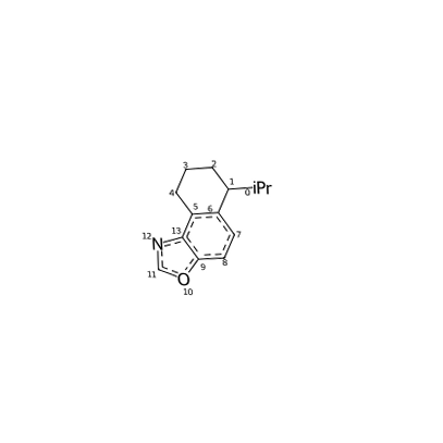 CC(C)C1CCCc2c1ccc1ocnc21